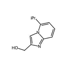 CC(C)c1cccc2nc(CO)cn12